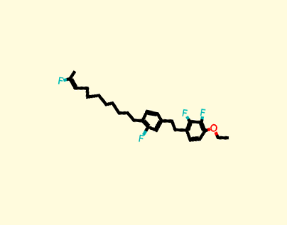 CCOc1ccc(CCc2ccc(CCCCCCCC/C=C(\C)F)c(F)c2)c(F)c1F